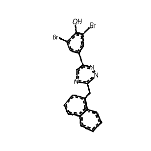 Oc1c(Br)cc(-c2cnc(Cc3cccc4ccccc34)nn2)cc1Br